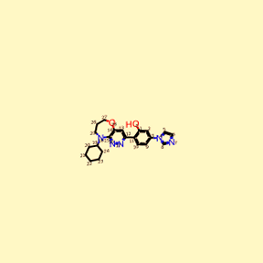 Oc1cc(-n2ccnc2)ccc1-c1cc2c(nn1)N(C1CCCCC1)CCCO2